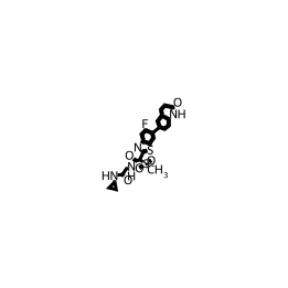 CS(=O)(=O)C(C(=O)NCC(=O)NC1CC1)c1nc2cc(F)c(-c3ccc4[nH]c(=O)ccc4c3)cc2s1